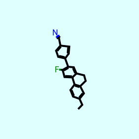 CCc1ccc2c(c1)CCc1cc(-c3ccc(C#N)cc3)c(F)cc1-2